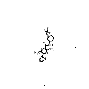 Cc1nc(C(=O)NC2CCCN(CC(F)(F)F)C2)c(N)nc1-c1ncco1